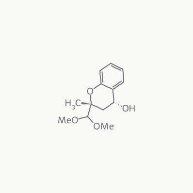 COC(OC)[C@@]1(C)C[C@@H](O)c2ccccc2O1